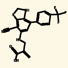 C=C(CNc1cc(-c2ccc(C(F)(F)F)cc2)c2c(c1C#N)SCN2)C(=O)O